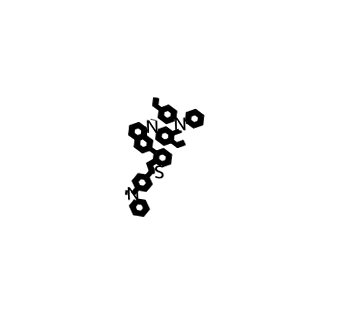 C=Cc1ccc(N(Cc2cc(N(C)c3cccc4ccc(-c5cccc6sc(-c7ccc(N(C)c8ccccc8)cc7)cc56)cc34)ccc2C=C)c2ccccc2)cc1